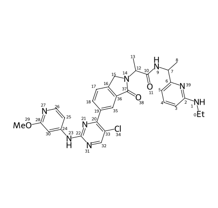 CCNc1cccc(C(C)NC(=O)C(C)N2Cc3ccc(-c4nc(Nc5ccnc(OC)c5)ncc4Cl)cc3C2=O)n1